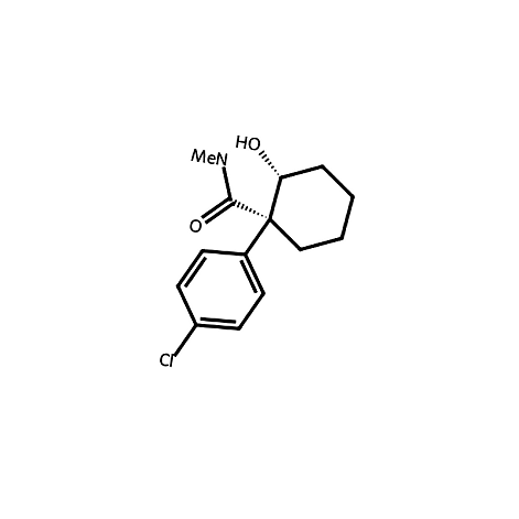 CNC(=O)[C@@]1(c2ccc(Cl)cc2)CCCC[C@H]1O